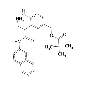 Cc1ccc(COC(=O)C(C)(C)C)cc1C(CN)C(=O)Nc1ccc2cnccc2c1